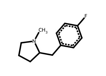 CN1CCCC1Cc1ccc(F)cc1